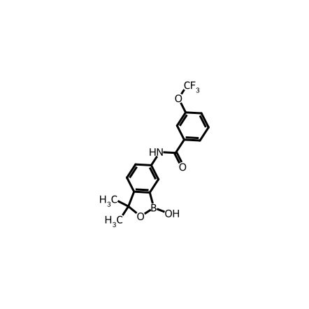 CC1(C)OB(O)c2cc(NC(=O)c3cccc(OC(F)(F)F)c3)ccc21